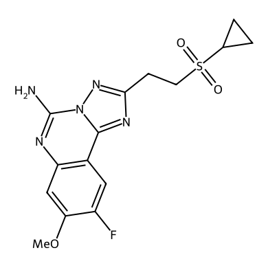 COc1cc2nc(N)n3nc(CCS(=O)(=O)C4CC4)nc3c2cc1F